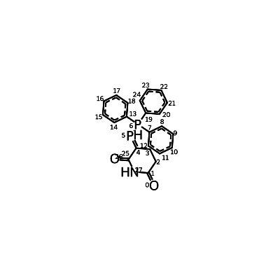 O=C1CCC(=P[PH](c2ccccc2)(c2ccccc2)c2ccccc2)C(=O)N1